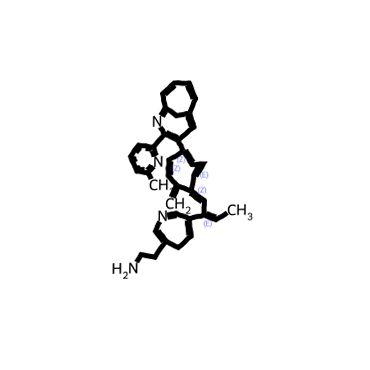 C=C1\C=C/C(C2=C(c3cccc(C)n3)N=C3C=CC=CC(=C2)C3)=C/C=C/C1=C/C(=C\C)C1=CCC(CCN)=CN=C1